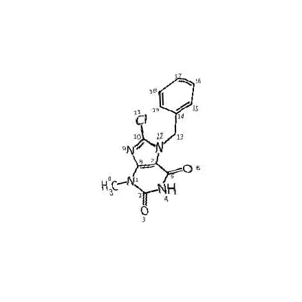 Cn1c(=O)[nH]c(=O)c2c1nc(Cl)n2Cc1ccccc1